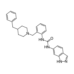 O=C(Nc1ccc2cn[nH]c2c1)Nc1ccccc1CN1CCC(Cc2ccccc2)CC1